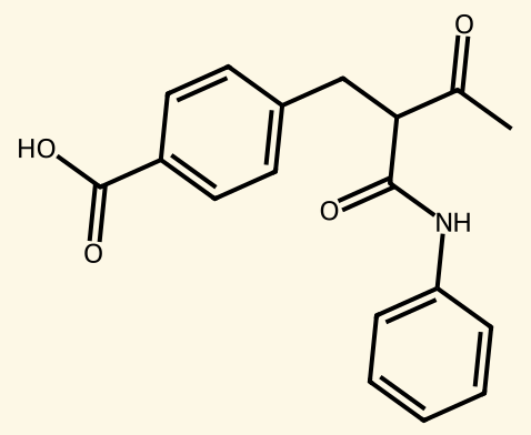 CC(=O)C(Cc1ccc(C(=O)O)cc1)C(=O)Nc1ccccc1